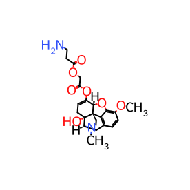 COc1ccc2c3c1O[C@H]1C(OC(=O)COC(=O)CCN)=CC[C@@]4(O)[C@@H](C2)N(C)CC[C@]314